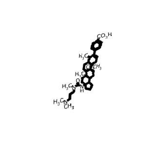 CC1C(c2ccc(C(=O)O)cc2)=CCC2(C)C1CCC1(C)C2CCC2C3CCCC3(NC(=O)N(C)CCCN(C)C)CC[C@]21C